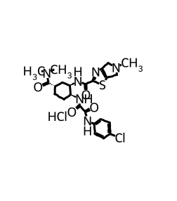 CN1Cc2nc(C(=O)N[C@@H]3C[C@@H](C(=O)N(C)C)CC[C@@H]3NC(=O)C(=O)Nc3ccc(Cl)cc3)sc2C1.Cl